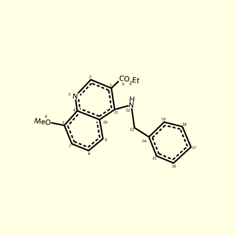 CCOC(=O)c1cnc2c(OC)cccc2c1NCc1ccccc1